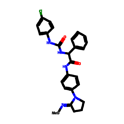 CON=C1CCCN1c1ccc(NC(=O)C(NC(=O)Nc2ccc(Cl)cc2)c2ccccc2)cc1